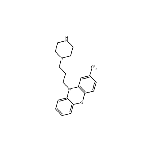 FC(F)(F)c1ccc2c(c1)N(CCCN1C[CH]NCC1)c1ccccc1S2